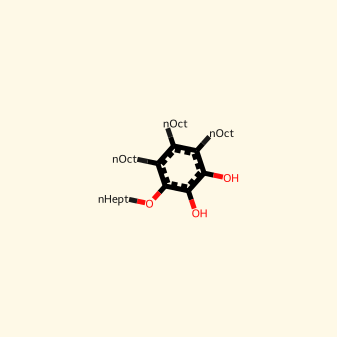 CCCCCCCCc1c(O)c(O)c(OCCCCCCC)c(CCCCCCCC)c1CCCCCCCC